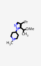 COC(C)c1c(C(C)C)cnn1C1CCN(C)CC1